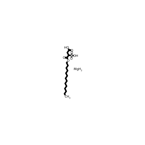 CCCCCCCCCCCCCCOC(=O)C(CC(=O)O)S(=O)(=O)O.[MgH2]